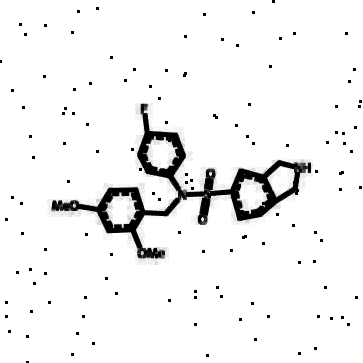 COc1ccc(CN(c2ccc(F)cc2)S(=O)(=O)c2ccc3c(c2)CNC3)c(OC)c1